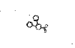 O=[N+]([O-])c1ccc(-c2ccccc2)c(-c2ccccc2)c1